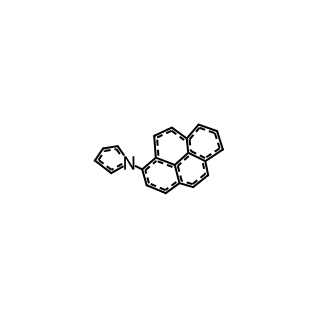 c1cc2ccc3ccc(-n4cccc4)c4ccc(c1)c2c34